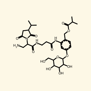 CC(C)C(=O)OCc1ccc(OC2OC(CO)C(O)C(O)C2O)cc1NC(=O)CCNC(=O)C(CN)N1C(=O)CC(C(C)C)C1=O